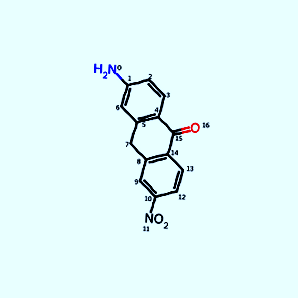 Nc1ccc2c(c1)Cc1cc([N+](=O)[O-])ccc1C2=O